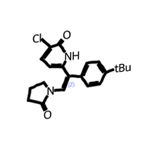 CC(C)(C)c1ccc(/C(=C/N2CCCC2=O)c2ccc(Cl)c(=O)[nH]2)cc1